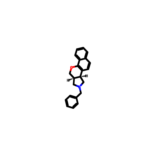 c1ccc(CN2C[C@H]3COc4c(ccc5ccccc45)[C@H]3C2)cc1